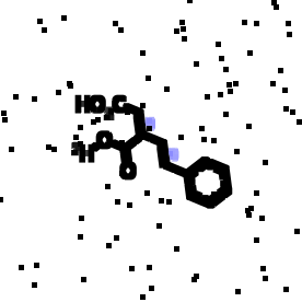 [2H]OC(=O)C(=C\C(=O)O)/C=C/c1ccccc1